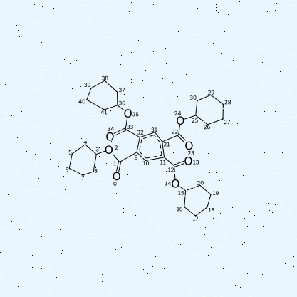 O=C(OC1CCCCC1)c1cc(C(=O)OC2CCCCC2)c(C(=O)OC2CCCCC2)cc1C(=O)OC1CCCCC1